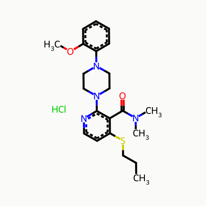 CCCSc1ccnc(N2CCN(c3ccccc3OC)CC2)c1C(=O)N(C)C.Cl